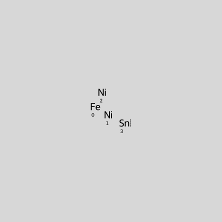 [Fe].[Ni].[Ni].[Sn]